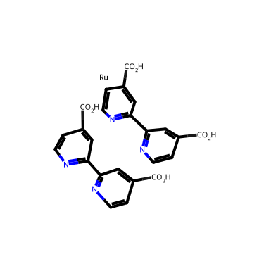 O=C(O)c1ccnc(-c2cc(C(=O)O)ccn2)c1.O=C(O)c1ccnc(-c2cc(C(=O)O)ccn2)c1.[Ru]